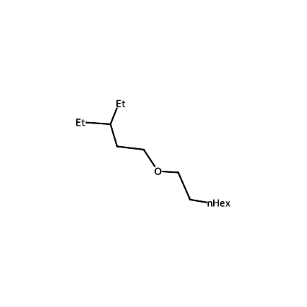 [CH2]CCCCCCCOCCC(CC)CC